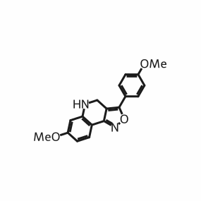 COc1ccc(-c2onc3c2CNc2cc(OC)ccc2-3)cc1